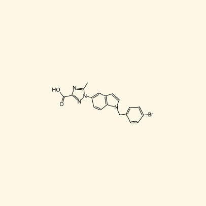 Cc1nc(C(=O)O)nn1-c1ccc2c(ccn2Cc2ccc(Br)cc2)c1